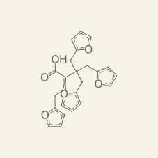 O=C(O)C(=CCc1ccco1)C(Cc1ccco1)(Cc1ccco1)Cc1ccco1